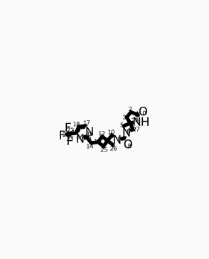 O=C1CCC2(CN(C(=O)N3CC4(CC(Cc5nccc(C(F)(F)F)n5)C4)C3)C2)N1